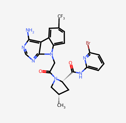 C[C@H]1C[C@@H](C(=O)Nc2cccc(Br)n2)N(C(=O)Cn2c3ccc(C(F)(F)F)cc3c3c(N)ncnc32)C1